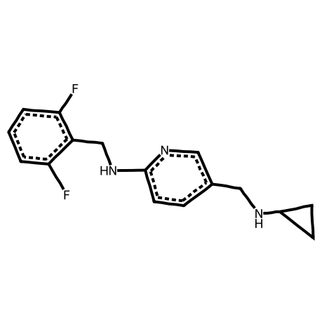 Fc1cccc(F)c1CNc1ccc(CNC2CC2)cn1